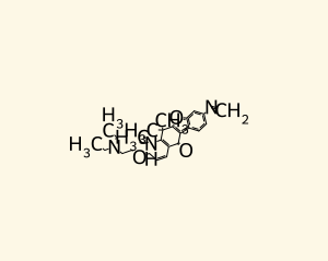 C=Nc1ccc2c3c(oc2c1)C(C)(C)C(NC)=C(/C=C\COCCN(CC)CC)C3=O